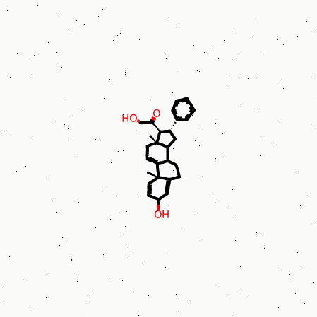 C[C@]12C=CC(O)C=C1CCC1C2=CC[C@@]2(C)C1C[C@@H](c1ccccc1)[C@@H]2C(=O)CO